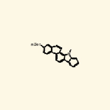 CCCCCCCCCCc1ccc2c(ccc3c2ccc2c4ccccc4n(C)c32)c1